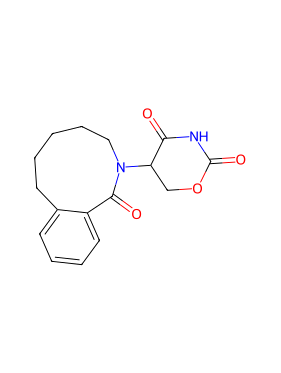 O=C1NC(=O)C(N2CCCCCc3ccccc3C2=O)CO1